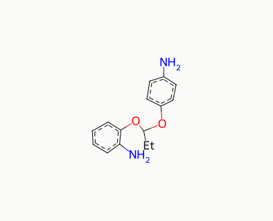 CCC(Oc1ccc(N)cc1)Oc1ccccc1N